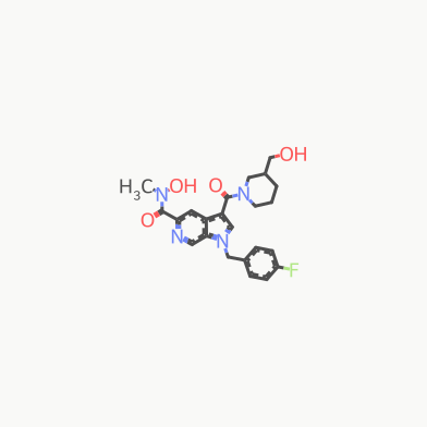 CN(O)C(=O)c1cc2c(C(=O)N3CCCC(CO)C3)cn(Cc3ccc(F)cc3)c2cn1